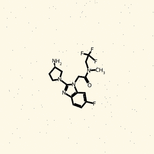 CN(CC(F)(F)F)C(=O)Cn1c(N2CC[C@@H](N)C2)nc2ccc(F)cc21